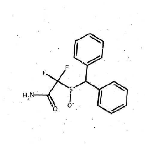 NC(=O)C(F)(F)[S+]([O-])C(c1ccccc1)c1ccccc1